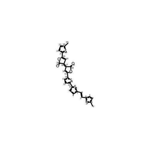 Cc1ccc(/C=C/c2ccc(-c3ccc(C4=C/C(=C5/C=C(c6ccc(C)s6)OC5=O)C(=O)O4)s3)s2)s1